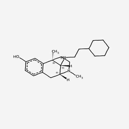 CN1CC[C@]2(C)c3cc(O)ccc3C[C@@H]1[C@H]2NCCC1CCCCC1